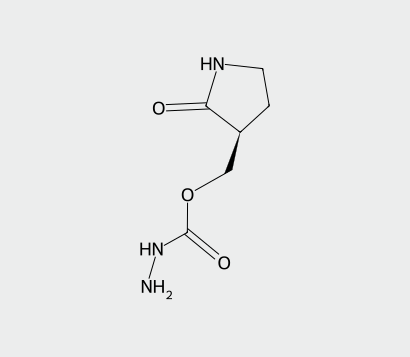 NNC(=O)OC[C@@H]1CCNC1=O